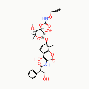 C#CCONC(=O)O[C@@H]1[C@@H](O)[C@H](Oc2ccc3c(O)c(NC(=O)C(CO)c4ccccc4)c(=O)oc3c2C)OC(C)(C)[C@@H]1OC